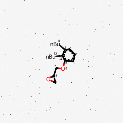 CCCCc1cccc(OCC2CO2)c1CCCC